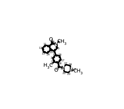 Cc1cc(-c2cn(C)c(=O)c3ccccc23)ccc1C(=O)N1CCN(C)CC1